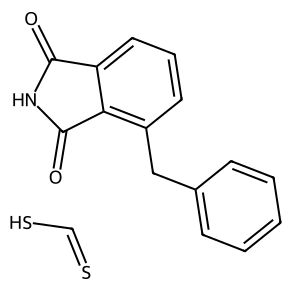 O=C1NC(=O)c2c(Cc3ccccc3)cccc21.S=CS